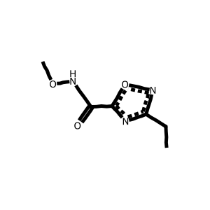 CCc1noc(C(=O)NOC)n1